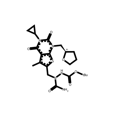 Cc1c(CN(NC(=O)OC(C)(C)C)C(N)=O)sc2c1c(=O)n(C1CC1)c(=O)n2C[C@H]1CCCO1